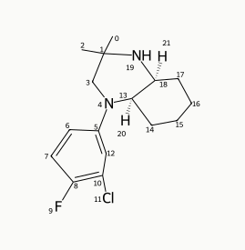 CC1(C)CN(c2ccc(F)c(Cl)c2)[C@@H]2CCCC[C@@H]2N1